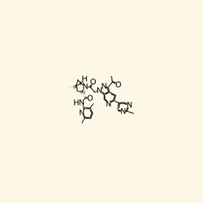 CC(=O)c1nn(CC(=O)N2[C@H](C(=O)Nc3nc(C)ccc3C)C[C@@]3(C)C[C@@H]23)c2cnc(-c3cnc(C)nc3)cc12